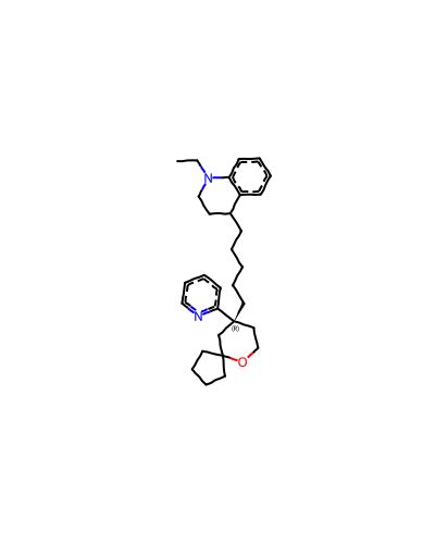 CCN1CCC(CCCCC[C@@]2(c3ccccn3)CCOC3(CCCC3)C2)c2ccccc21